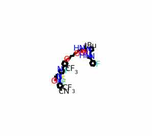 CC(C)(C)C(NC(=O)COCCCCOc1ccc(-c2ncc(N3C(=S)N(c4ccc(C#N)c(C(F)(F)F)c4F)C(=O)C3(C)C)cc2F)c(C(F)(F)F)c1)C(=O)N1CCCC1c1nc(-c2cccc(F)c2)c[nH]1